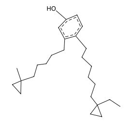 CCC1(CCCCCCc2ccc(O)cc2CCCCCC2(C)CC2)CC1